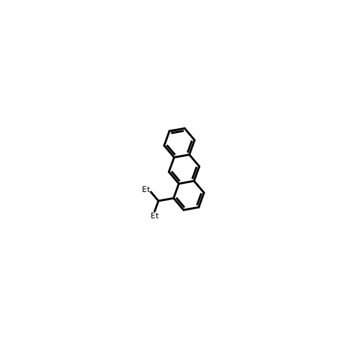 CCC(CC)c1cccc2cc3ccccc3cc12